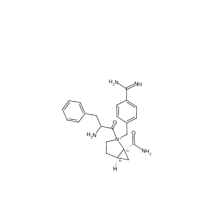 N=C(N)c1ccc(C[N+]2(C(=O)C(N)Cc3ccccc3)CC[C@@H]3C[C@@]32C(N)=O)cc1